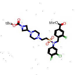 COC(=O)c1ccc(CN(c2ccc(F)c(Cl)c2)S(=O)(=O)CCN2CCN(C3CN(C(=O)OC(C)(C)C)C3)CC2)c(F)c1